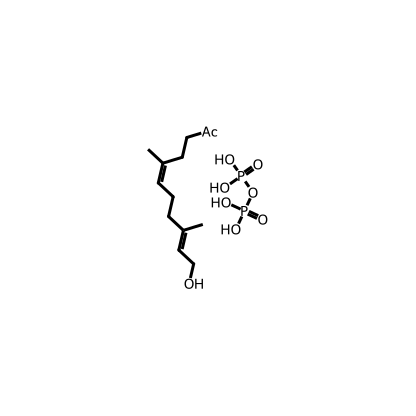 CC(=O)CCC(C)=CCC/C(C)=C/CO.O=P(O)(O)OP(=O)(O)O